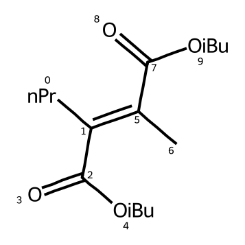 CCCC(C(=O)OCC(C)C)=C(C)C(=O)OCC(C)C